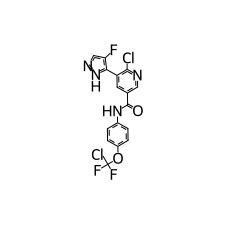 O=C(Nc1ccc(OC(F)(F)Cl)cc1)c1cnc(Cl)c(-c2[nH]ncc2F)c1